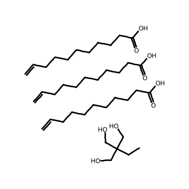 C=CCCCCCCCCC(=O)O.C=CCCCCCCCCC(=O)O.C=CCCCCCCCCC(=O)O.CCC(CO)(CO)CO